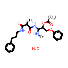 CCNC(NC(=O)C(C)C(=O)NCCCc1ccccc1)C(COc1ccccc1)OC(=O)C(=O)O.O